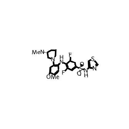 CN[C@@H]1CCCN(c2cc(OC)ccc2NC2=C(F)C=C(S(=O)(=O)Nc3cscn3)CC2F)C1